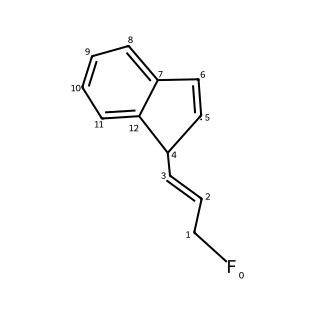 FCC=CC1[C]=Cc2ccccc21